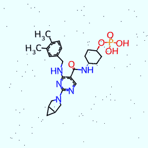 Cc1ccc(CNc2nc(N3CC4CC4C3)ncc2C(=O)N[C@H]2CC[C@H](OP(=O)(O)O)CC2)cc1C